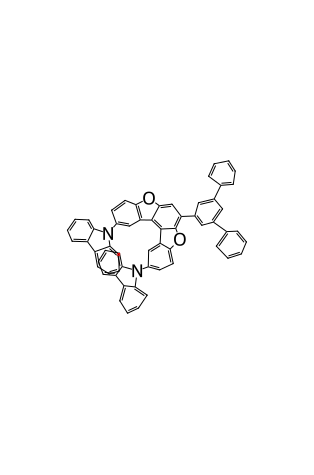 c1ccc(-c2cc(-c3ccccc3)cc(-c3cc4oc5ccc(-n6c7ccccc7c7ccccc76)cc5c4c4c3oc3ccc(-n5c6ccccc6c6ccccc65)cc34)c2)cc1